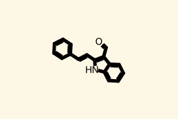 O=Cc1c(C=Cc2ccccc2)[nH]c2ccccc12